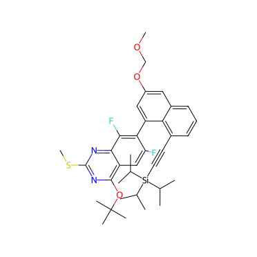 COCOc1cc(-c2c(F)cc3c(OC(C)(C)C)nc(SC)nc3c2F)c2c(C#C[Si](C(C)C)(C(C)C)C(C)C)cccc2c1